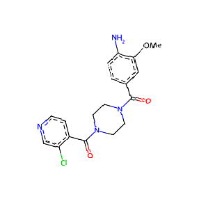 COc1cc(C(=O)N2CCN(C(=O)c3ccncc3Cl)CC2)ccc1N